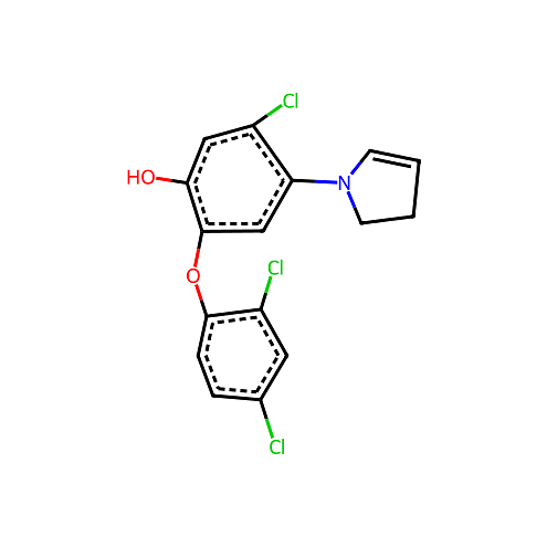 Oc1cc(Cl)c(N2C=CCC2)cc1Oc1ccc(Cl)cc1Cl